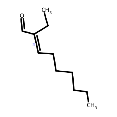 CCCCCC/C=C(/C=O)CC